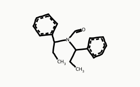 CCC(c1ccccc1)N(C=O)C(CC)c1ccccc1